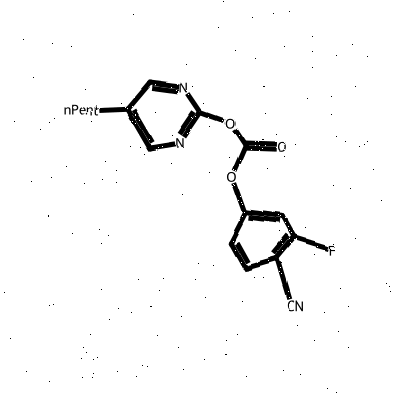 CCCCCc1cnc(OC(=O)Oc2ccc(C#N)c(F)c2)nc1